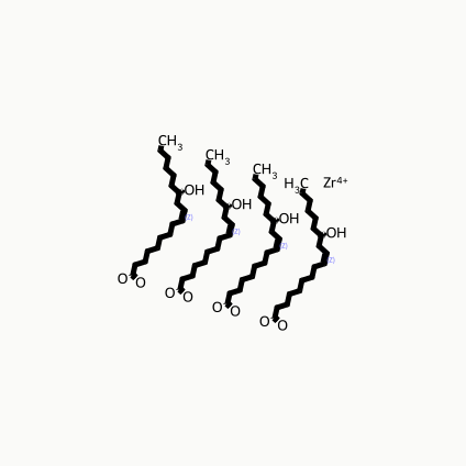 CCCCCC[C@@H](O)C/C=C\CCCCCCCC(=O)[O-].CCCCCC[C@@H](O)C/C=C\CCCCCCCC(=O)[O-].CCCCCC[C@@H](O)C/C=C\CCCCCCCC(=O)[O-].CCCCCC[C@@H](O)C/C=C\CCCCCCCC(=O)[O-].[Zr+4]